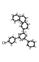 Clc1ccc(-c2nc(-c3ccccc3)nc(-c3ccc4ccc5ccccc5c4c3)n2)cc1